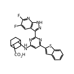 O=C(O)C1C2CCC(CC2)C1Nc1cc(-c2cc3ccccc3s2)nc(-c2n[nH]c3nc(F)c(F)cc23)n1